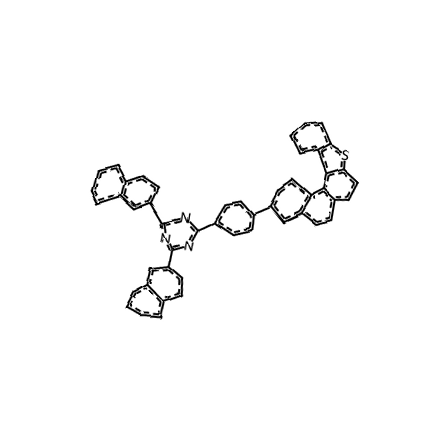 c1ccc2cc(-c3nc(-c4ccc(-c5ccc6c(ccc7ccc8sc9ccccc9c8c76)c5)cc4)nc(-c4ccc5ccccc5c4)n3)ccc2c1